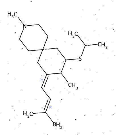 B/C(C)=C/C=C1/CC2(CCN(C)CC2)CC(SC(C)C)C1C